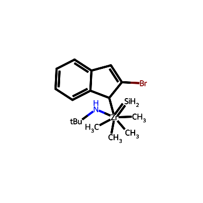 CC(C)(C)[NH][Zr]([CH3])([CH3])([CH3])([CH3])(=[SiH2])[CH]1C(Br)=Cc2ccccc21